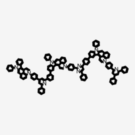 C1=CN(c2ccc(-c3cc(-c4ccccc4)nc(-c4cccc(-c5ccc6c(c5)c5c7c8c(cccc8cc5n6-c5ccccc5)N(c5ccc(-c6nc(-c8ccccc8)cc(-c8ccc(-c9ccc%10c(c9)c9c%11c%12c(cccc%12cc9n%10-c9ccccc9)N(c9ccc(-c%10cc(-c%12ccccc%12)cc(-c%12ccccc%12)n%10)cc9)C=C%11)cc8)n6)cc5)C=C7)c4)c3)cc2)c2cccc3cc4c(c1c23)c1ccccc1n4-c1ccccc1